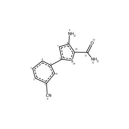 N#Cc1cccc(-c2cc(N)c(C(N)=O)s2)c1